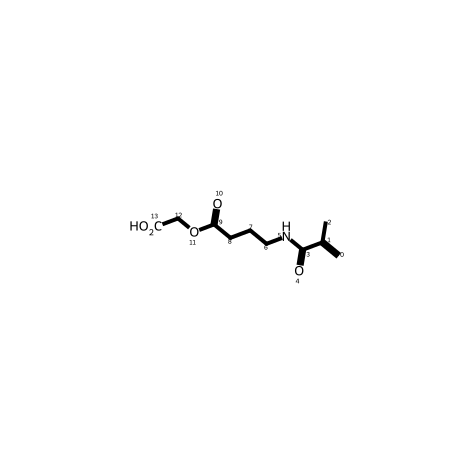 C=C(C)C(=O)NCCCC(=O)OCC(=O)O